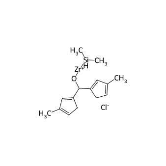 CC1=CCC(C([O][Zr+][SiH](C)C)C2=CC(C)=CC2)=C1.[Cl-]